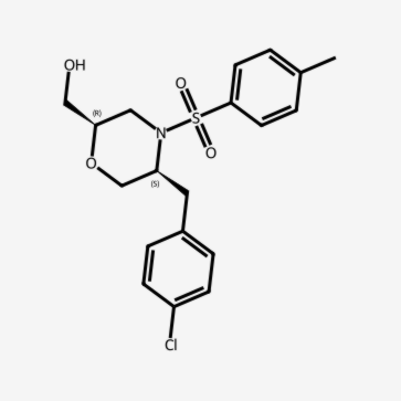 Cc1ccc(S(=O)(=O)N2C[C@H](CO)OC[C@@H]2Cc2ccc(Cl)cc2)cc1